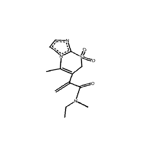 C=C(C(=O)N(C)CC)C1=C(C)n2ccnc2S(=O)(=O)C1